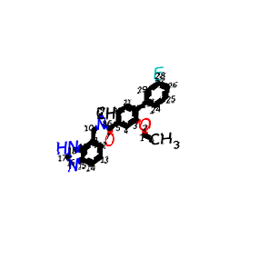 CCOc1cc(C(=O)N(C)Cc2cccc3nc[nH]c23)ccc1-c1cccc(F)c1